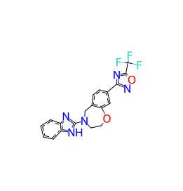 FC(F)(F)c1nc(-c2ccc3c(c2)OCCN(c2nc4ccccc4[nH]2)C3)no1